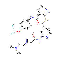 CN(C)CCNCC(=O)Nc1cc(CSc2ncccc2C(=O)Nc2ccc(OC(F)F)cc2)ccn1